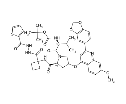 COc1ccc2c(OC3C[C@@H](C(=O)NC4(C(=O)NNC(=O)c5cccs5)CCC4)N(C(=O)[C@@H](NC(=O)OC(C)(C)C)C(C)C)C3)cc(-c3ccc4c(c3)OCO4)nc2c1